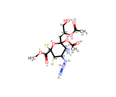 COC(=O)C1(F)OC(C[C@@H](CO)OC(C)=O)(OC(C)=O)C(N)C(N=[N+]=[N-])C1F